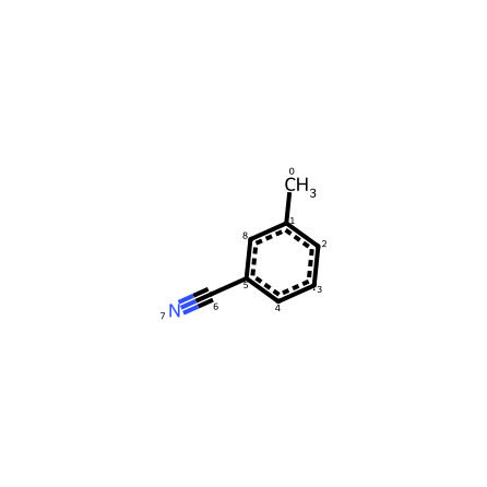 Cc1c[c]cc(C#N)c1